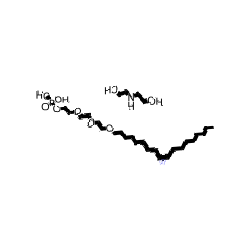 CCCCCCCC/C=C\CCCCCCCCOCCOCCOCCOP(=O)(O)O.OCCNCCO